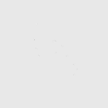 N#Cc1ccc(Cn2cncc2CCC(=O)Nc2ccc(N3CCN(C(=O)c4ccc(Cl)s4)CC3)cc2)cc1